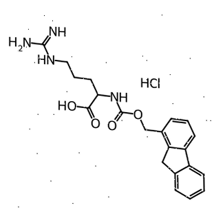 Cl.N=C(N)NCCCC(NC(=O)OCc1cccc2c1Cc1ccccc1-2)C(=O)O